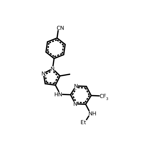 CCNc1nc(Nc2cnn(-c3ccc(C#N)cc3)c2C)ncc1C(F)(F)F